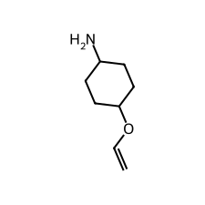 C=COC1CCC(N)CC1